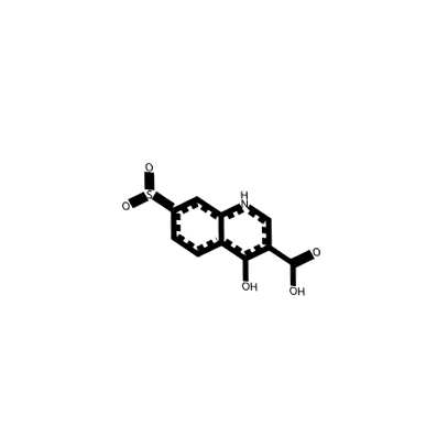 O=C(O)c1c[nH]c2cc(=S(=O)=O)ccc-2c1O